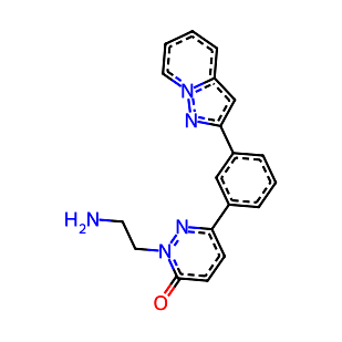 NCCn1nc(-c2cccc(-c3cc4ccccn4n3)c2)ccc1=O